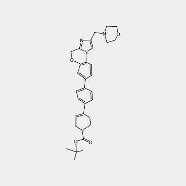 CC(C)(C)OC(=O)N1CC=C(c2ccc(-c3ccc4c(c3)OCc3nc(CN5CCOCC5)cn3-4)cc2)CC1